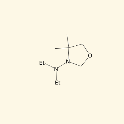 CCN(CC)N1COCC1(C)C